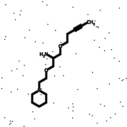 CC#CCCOCC(N)COCCN1CCCCC1